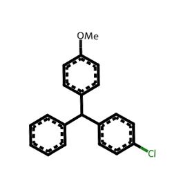 COc1ccc(C(c2ccccc2)c2ccc(Cl)cc2)cc1